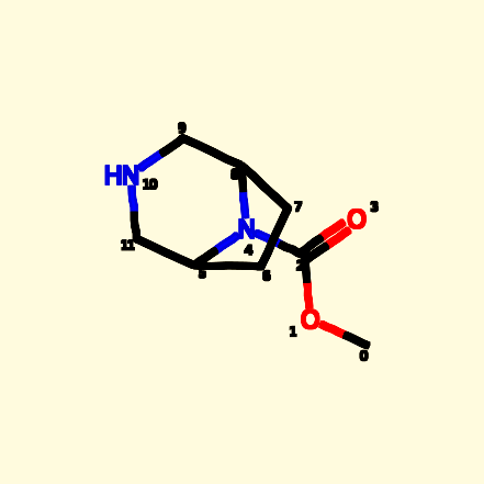 COC(=O)N1C2CCC1CNC2